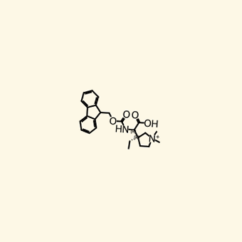 CC[C@@]1([C@@H](NC(=O)OCC2c3ccccc3-c3ccccc32)C(=O)O)CC[N+](C)(C)C1